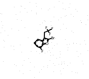 Fc1cccc2c(CC(F)(F)F)c(Br)oc12